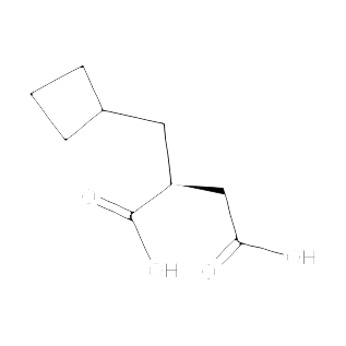 O=C(O)C[C@H](CC1CCC1)C(=O)O